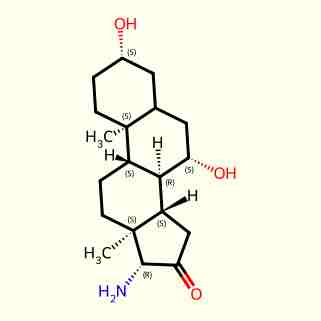 C[C@]12CC[C@H]3[C@@H]([C@@H](O)CC4C[C@@H](O)CC[C@@]43C)[C@@H]1CC(=O)[C@@H]2N